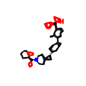 Cc1c(C(=O)O)cccc1-c1ccc([C@@H]2CC23CCN(C(=O)[C@H]2CCCO2)CC3)cc1